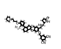 Cc1c(OCCCN2CCCCC2)cccc1-c1cccc2c1CC[C@@H]2Oc1cc(OCc2cc(C#N)cc(C#N)c2)c(CNC[C@H]2CCC(=O)N2)cc1Cl